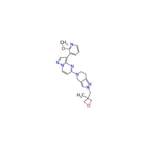 COc1ncccc1-c1cnn2ccc(N3CCc4nn(CC5(C)COC5)cc4C3)nc12